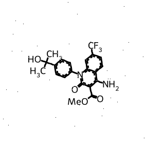 COC(=O)c1c(N)c2ccc(C(F)(F)F)cc2n(-c2ccc(C(C)(C)O)cc2)c1=O